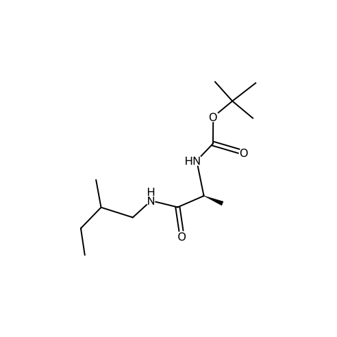 CCC(C)CNC(=O)[C@H](C)NC(=O)OC(C)(C)C